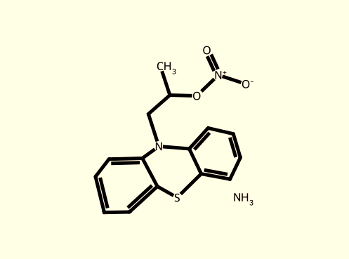 CC(CN1c2ccccc2Sc2ccccc21)O[N+](=O)[O-].N